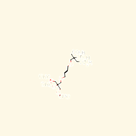 O=COCC(COC=O)(COC/C=C/COCC(CC(=O)O)(CC(=O)O)C(=O)O)OC=O